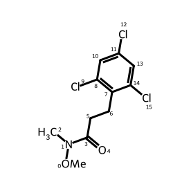 CON(C)C(=O)CCc1c(Cl)cc(Cl)cc1Cl